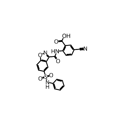 N#Cc1ccc(NC(=O)c2noc3ccc(S(=O)(=O)Nc4ccccc4)cc23)c(C(=O)O)c1